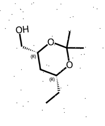 CC[C@@H]1C[C@H](CO)OC(C)(C)O1